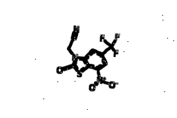 N#CCn1c(=O)sc2c([N+](=O)[O-])cc(C(F)(F)F)cc21